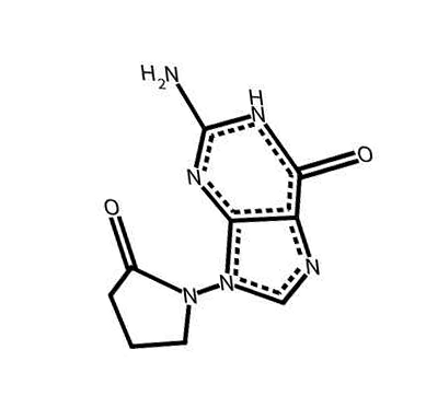 Nc1nc2c(ncn2N2CCCC2=O)c(=O)[nH]1